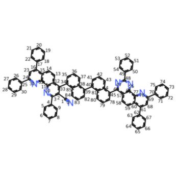 N#Cc1c(-c2ccccc2)nc2c(ccc3c(-c4ccccc4)cc(-c4ccccc4)nc32)c1-c1cccc2c(-c3cccc4c(-c5nc(-c6ccccc6)nc6c5ccc5c(-c7ccccc7)cc(-c7ccccc7)nc56)cccc34)cccc12